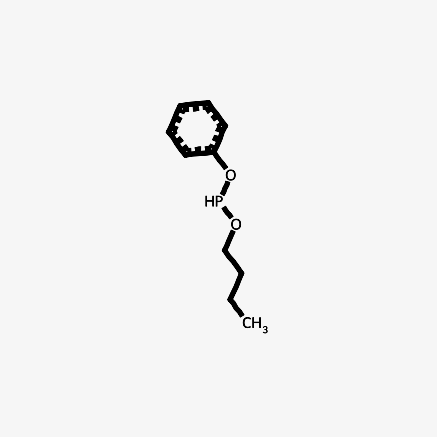 CCCCOPOc1ccccc1